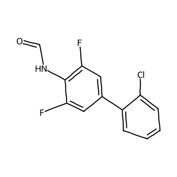 O=CNc1c(F)cc(-c2ccccc2Cl)cc1F